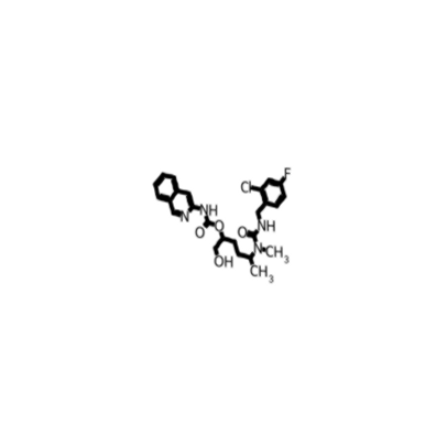 CC(CCC(CO)OC(=O)Nc1cc2ccccc2cn1)N(C)C(=O)NCc1ccc(F)cc1Cl